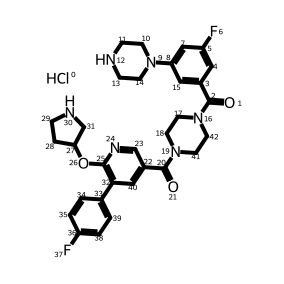 Cl.O=C(c1cc(F)cc(N2CCNCC2)c1)N1CCN(C(=O)c2cnc(OC3CCNC3)c(-c3ccc(F)cc3)c2)CC1